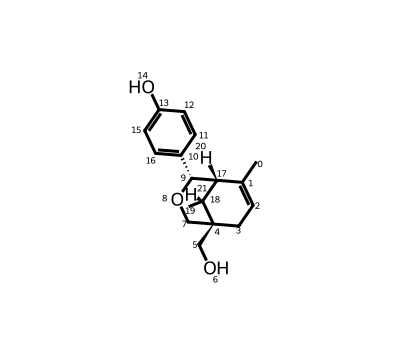 CC1=CC[C@]2(CO)CO[C@H](c3ccc(O)cc3)[C@H]1[C@H]2C